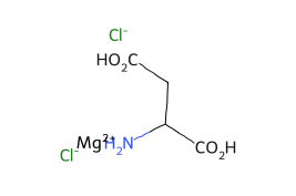 NC(CC(=O)O)C(=O)O.[Cl-].[Cl-].[Mg+2]